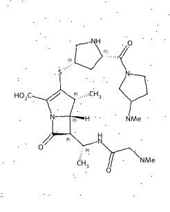 CNCC(=O)N[C@H](C)[C@H]1C(=O)N2C(C(=O)O)=C(S[C@@H]3CN[C@H](C(=O)N4CCC(NC)C4)C3)[C@H](C)[C@H]12